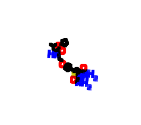 CC(C)C[C@H](NCCCOc1ccc(-c2cc(C(N)=O)c(NC(N)=O)s2)cc1)C(=O)OC1CCCC1